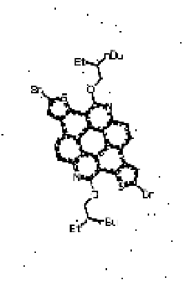 CCCCC(CC)COc1nc2ccc3c4cc(Br)sc4c4c(OCC(CC)CCCC)nc5ccc6c7cc(Br)sc7c1c1c2c3c4c5c61